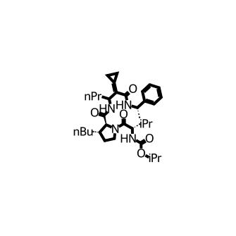 CCCC[C@H]1CCN(C(=O)[C@@H](NC(=O)OC(C)C)C(C)C)[C@@H]1C(=O)NC(CCC)C(C(=O)N[C@@H](C)c1ccccc1)=C1CC1